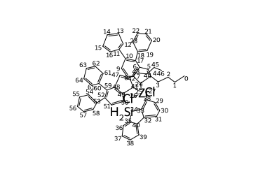 CCCCC1=Cc2c(ccc(-c3ccccc3)c2-c2ccccc2)[CH]1[Zr]([Cl])([Cl])([c]1cccc2c1[SiH2]c1ccccc1-2)[CH]1C(CCCC)=Cc2c1ccc(-c1ccccc1)c2-c1ccccc1